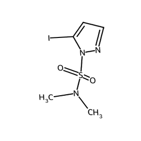 CN(C)S(=O)(=O)n1nccc1I